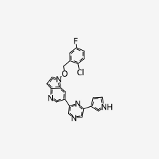 Fc1ccc(Cl)c(COn2ccc3ncc(-c4cncc(-c5cc[nH]c5)n4)cc32)c1